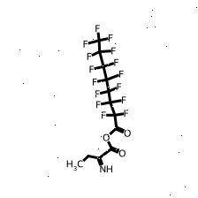 CCC(=N)C(=O)OC(=O)C(F)(F)C(F)(F)C(F)(F)C(F)(F)C(F)(F)C(F)(F)C(F)(F)F